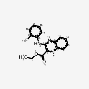 CCOC(=O)c1nc2ccccc2nc1Nc1ccccc1F